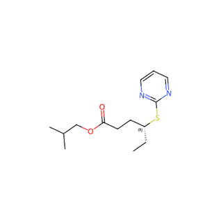 CC[C@H](CCC(=O)OCC(C)C)Sc1ncccn1